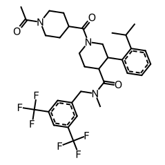 CC(=O)N1CCC(C(=O)N2CCC(C(=O)N(C)Cc3cc(C(F)(F)F)cc(C(F)(F)F)c3)C(c3ccccc3C(C)C)C2)CC1